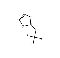 CC(C)(C)CC1CC=CS1